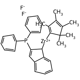 CC1=C(C)C(C)(C)[C]([Zr+2][CH]2C(P(c3ccccc3)c3ccccc3)=Cc3ccccc32)=C1C.[F-].[F-]